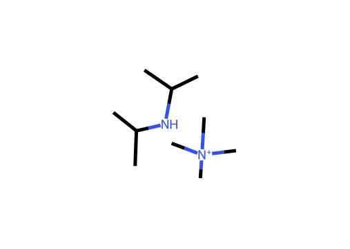 CC(C)NC(C)C.C[N+](C)(C)C